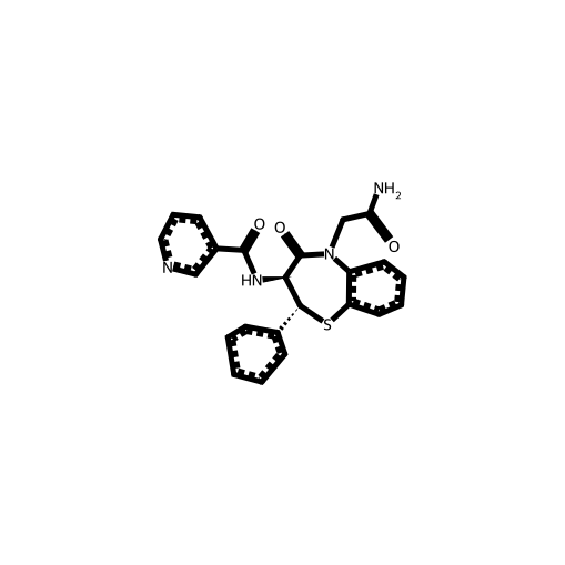 NC(=O)CN1C(=O)[C@H](NC(=O)c2cccnc2)[C@@H](c2ccccc2)Sc2ccccc21